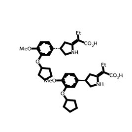 CCC(C(=O)O)=C1C[C@@H](c2ccc(OC)c(OC3CCCC3)c2)CN1.CCC(C(=O)O)=C1C[C@H](c2ccc(OC)c(OC3CCCC3)c2)CN1